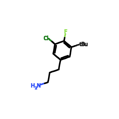 CC(C)(C)c1cc(CCCN)cc(Cl)c1F